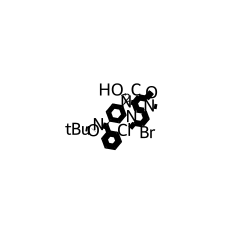 Cn1c(=O)c(C(=O)O)c(N(C)[C@H]2CC[C@@H](/C(=N/OC(C)(C)C)c3ccccc3)CC2)c2nc(Cl)c(Br)cc21